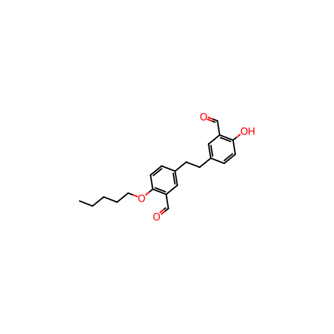 CCCCCOc1ccc(CCc2ccc(O)c(C=O)c2)cc1C=O